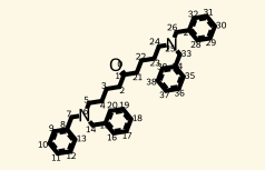 O=C(CCCCN(Cc1ccccc1)Cc1ccccc1)CCCCN(Cc1ccccc1)Cc1ccccc1